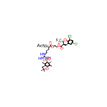 CC(=O)N[C@@H](CCCNC(=N)NS(=O)(=O)c1c(C)c(C)c2c(c1C)CC(C)(C)O2)C(=O)OCCOC(=O)C1=Cc2cc(Cl)cc(Cl)c2O[C@@H]1C(F)(F)F